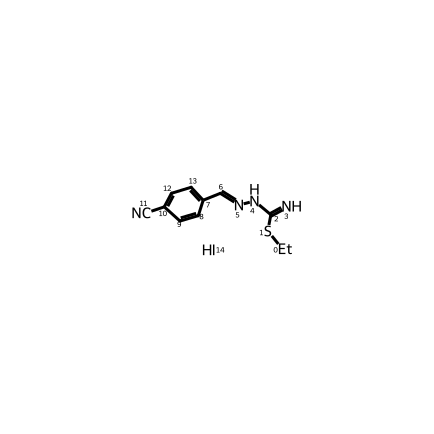 CCSC(=N)NN=Cc1ccc(C#N)cc1.I